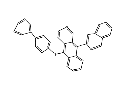 c1ccc(-c2ccc(Sc3c4ccccc4c(-c4ccc5ccccc5c4)c4cnccc34)cc2)cc1